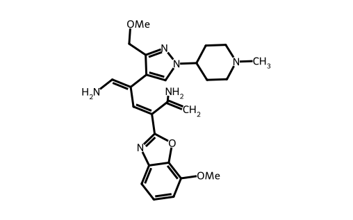 C=C(N)/C(=C\C(=C/N)c1cn(C2CCN(C)CC2)nc1COC)c1nc2cccc(OC)c2o1